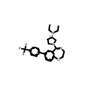 CCN(CC)[C@H]1CCN(C2=NCCOc3ccc(-c4ccc(C(F)(F)F)cc4)cc32)C1